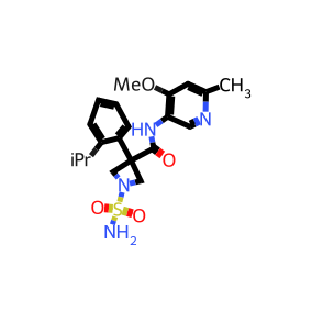 COc1cc(C)ncc1NC(=O)C1(c2ccccc2C(C)C)CN(S(N)(=O)=O)C1